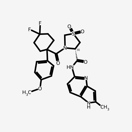 COc1ccc(C2(C(=O)N3CS(=O)(=O)C[C@@H]3C(=O)Nc3ccc4[nH]c(C)cc4n3)CCC(F)(F)CC2)cc1